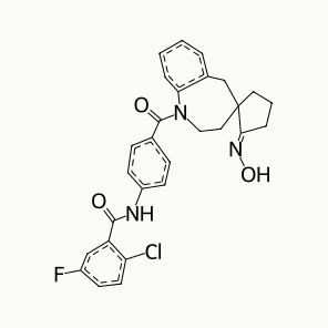 O=C(Nc1ccc(C(=O)N2CCC3(CCCC3=NO)Cc3ccccc32)cc1)c1cc(F)ccc1Cl